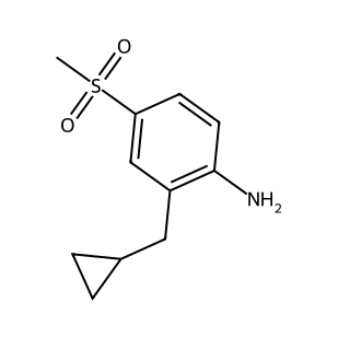 CS(=O)(=O)c1ccc(N)c(CC2CC2)c1